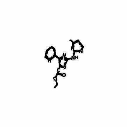 CCOC(=O)Cc1sc(Nc2nccc(C)n2)nc1-c1ccccn1